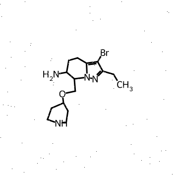 CCc1nn2c(c1Br)CCC(N)C2COC1CCNCC1